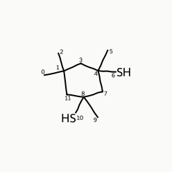 CC1(C)CC(C)(S)CC(C)(S)C1